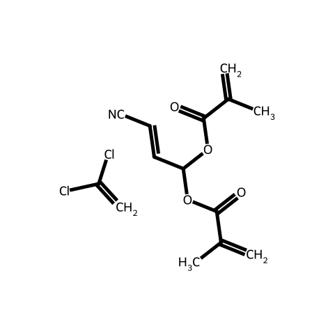 C=C(C)C(=O)OC(C=CC#N)OC(=O)C(=C)C.C=C(Cl)Cl